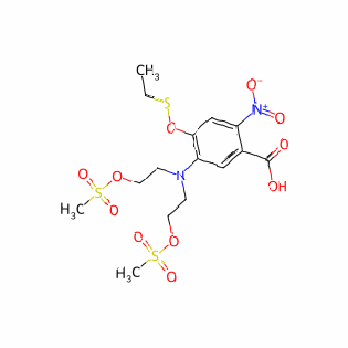 CCSOc1cc([N+](=O)[O-])c(C(=O)O)cc1N(CCOS(C)(=O)=O)CCOS(C)(=O)=O